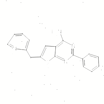 Nc1nc(-c2ccccc2)nc2sc(Cc3ccccn3)cc12